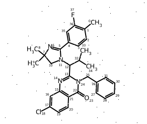 Cc1ccc(C2=NC(C)(C)CN2C(c2nc3cc(Cl)ccc3c(=O)n2Cc2ccccc2)C(C)C)cc1F